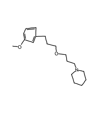 COc1cccc(CCCOCCCN2CCCCC2)c1